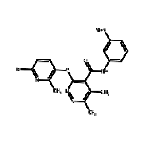 CSc1cccc(NC(=O)c2c(Oc3ccc(Br)nc3C)nnc(C(F)(F)F)c2C)c1